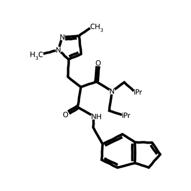 Cc1cc(CC(C(=O)NCc2ccc3c(c2)C=CC3)C(=O)N(CC(C)C)CC(C)C)n(C)n1